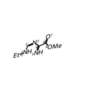 CCN/C=N\C(=N)C(=O)OC